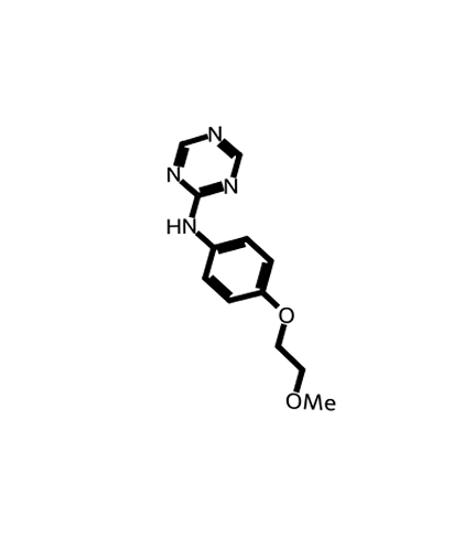 COCCOc1ccc(Nc2ncncn2)cc1